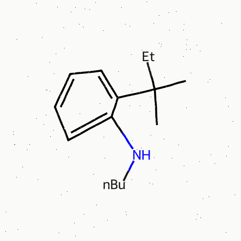 CCCCNc1ccccc1C(C)(C)CC